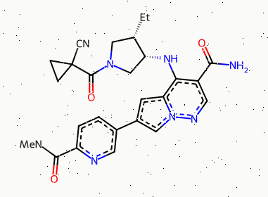 CC[C@H]1CN(C(=O)C2(C#N)CC2)C[C@H]1Nc1c(C(N)=O)cnn2cc(-c3ccc(C(=O)NC)nc3)cc12